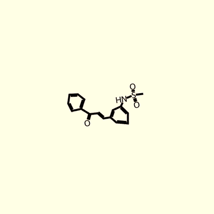 CS(=O)(=O)Nc1cccc(C=CC(=O)c2ccccc2)c1